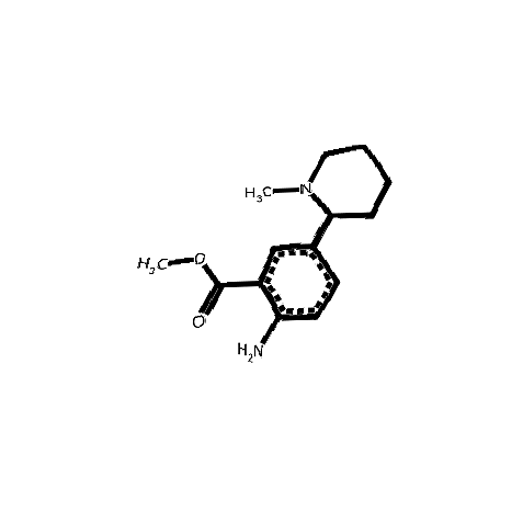 COC(=O)c1cc(C2CCCCN2C)ccc1N